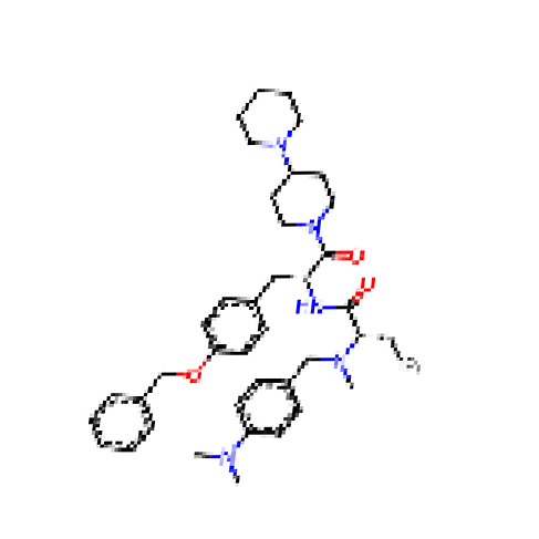 CC(C)C[C@@H](C(=O)N[C@@H](Cc1ccc(OCc2ccccc2)cc1)C(=O)N1CCC(N2CCCCC2)CC1)N(C)Cc1ccc(N(C)C)cc1